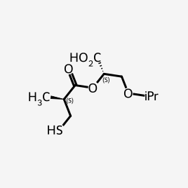 CC(C)OC[C@H](OC(=O)[C@H](C)CS)C(=O)O